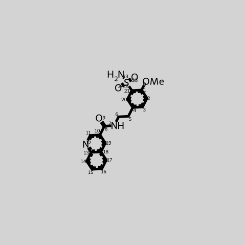 COc1ccc(CCNC(=O)c2cnc3ccccc3c2)cc1S(N)(=O)=O